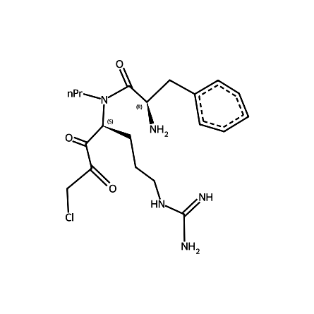 CCCN(C(=O)[C@H](N)Cc1ccccc1)[C@@H](CCCNC(=N)N)C(=O)C(=O)CCl